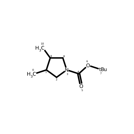 CC1CN(C(=O)OC(C)(C)C)CC1C